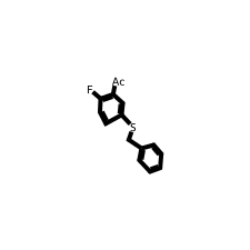 CC(=O)c1cc(SCc2ccccc2)ccc1F